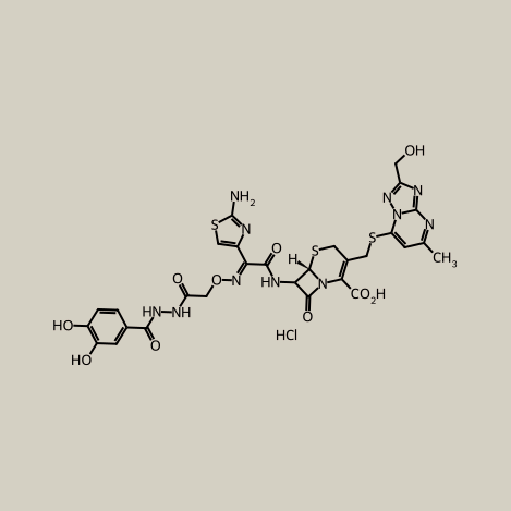 Cc1cc(SCC2=C(C(=O)O)N3C(=O)C(NC(=O)C(=NOCC(=O)NNC(=O)c4ccc(O)c(O)c4)c4csc(N)n4)[C@@H]3SC2)n2nc(CO)nc2n1.Cl